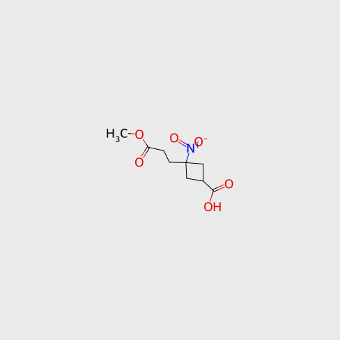 COC(=O)CCC1([N+](=O)[O-])CC(C(=O)O)C1